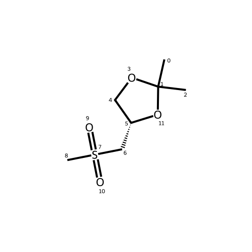 CC1(C)OC[C@@H](CS(C)(=O)=O)O1